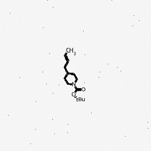 C/C=C/CC1CCN(C(=O)OC(C)(C)C)CC1